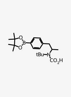 CC(Cc1ccc(B2OC(C)(C)C(C)(C)O2)cc1)N(C(=O)O)C(C)(C)C